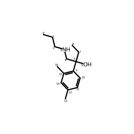 CCCNCC(O)(CC)c1ccc(C)cc1C